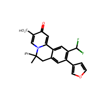 CC(C)C1(C)Cc2cc(-c3ccoc3)c(C(F)F)cc2-c2cc(=O)c(C(=O)O)cn21